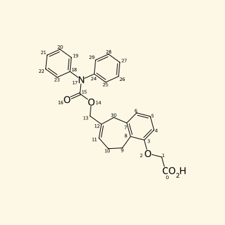 O=C(O)COc1cccc2c1CCC=C(COC(=O)N(c1ccccc1)c1ccccc1)C2